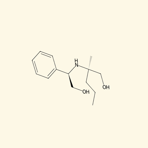 CCC[C@](C)(CO)N[C@@H](CO)c1ccccc1